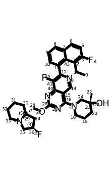 CCc1c(F)ccc2cccc(-c3ncc4c(N5CCC[C@@](C)(O)C5)nc(OC[C@@]56CCCCN5C[C@H](F)C6)nc4c3F)c12